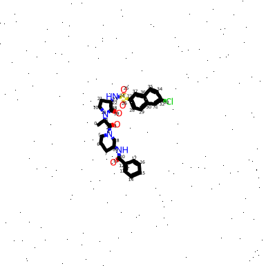 CC(C(=O)N1CCCC(NC(=O)c2ccccc2)C1)N1CCC(NS(=O)(=O)c2ccc3cc(Cl)ccc3c2)C1=O